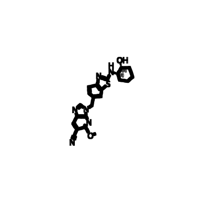 COc1nc2c(cc1C#N)ncn2Cc1ccc2nc(N[C@@H]3CCCC[C@H]3O)sc2c1